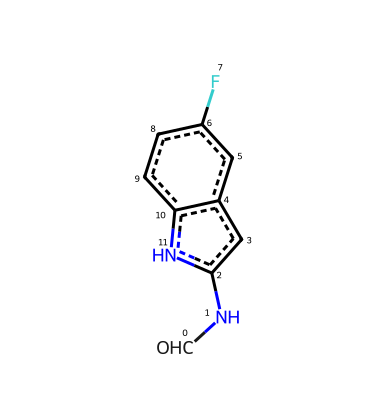 O=CNc1cc2cc(F)ccc2[nH]1